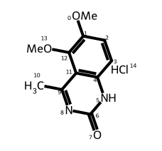 COc1ccc2[nH]c(=O)nc(C)c2c1OC.Cl